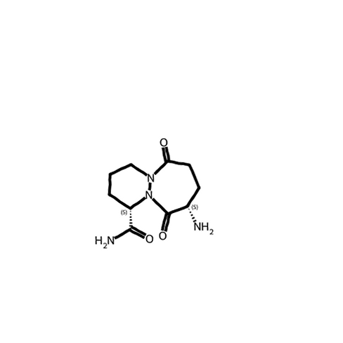 NC(=O)[C@@H]1CCCN2C(=O)CC[C@H](N)C(=O)N12